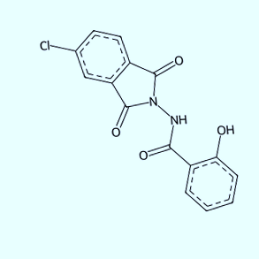 O=C(NN1C(=O)c2ccc(Cl)cc2C1=O)c1ccccc1O